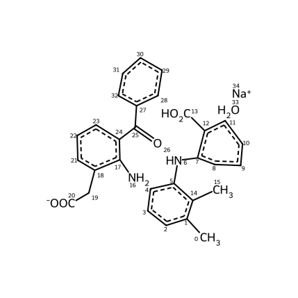 Cc1cccc(Nc2ccccc2C(=O)O)c1C.Nc1c(CC(=O)[O-])cccc1C(=O)c1ccccc1.O.[Na+]